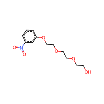 O=[N+]([O-])c1cccc(OCCOCCOCCO)c1